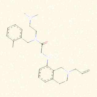 C=CCN1CCc2cccc(NCC(=O)N(CCN(C)C)Cc3ccccc3C(F)(F)F)c2C1